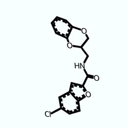 O=C(NCC1COc2ccccc2O1)c1cc2cc(Cl)ccc2o1